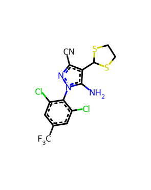 N#Cc1nn(-c2c(Cl)cc(C(F)(F)F)cc2Cl)c(N)c1C1SCCS1